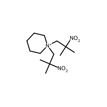 CC(C)(C[N+]1(CC(C)(C)[N+](=O)[O-])CCCCC1)[N+](=O)[O-]